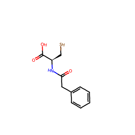 O=C(Cc1ccccc1)N[C@H](CS)C(=O)O